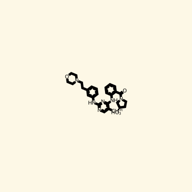 Cc1cnc(Nc2cccc(CCN3CCOCC3)c2)nc1Nc1ccccc1C(=O)N1CC[C@@H](O)C1